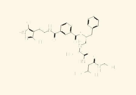 CCNC(=O)[C@@H](NC(=O)[C@H](C)NC[C@H](Cc1ccccc1)NC(=O)c1cccc(C(=O)NCCc2c(C)n[nH]c2C)c1)C(C)C